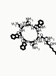 CCCCCCC[C@@H](O)CC(=O)N[C@H](CN)C(=O)N[C@H]1CCNC(=O)[C@H](Cc2c[nH]c3ccccc23)NC(=O)[C@H](CCN)NC(=O)[C@H](CCN)NC(=O)[C@H](C2Cc3ccccc3C2)NC(=O)[C@@H](C2Cc3ccccc3C2)NC(=O)[C@H](CCN)NC1=O